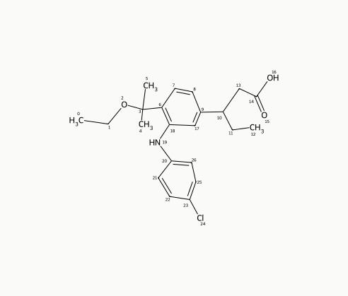 CCOC(C)(C)c1ccc(C(CC)CC(=O)O)cc1Nc1ccc(Cl)cc1